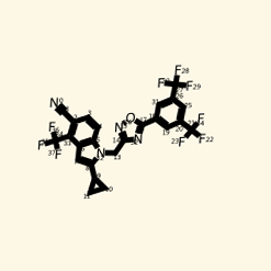 N#Cc1ccc2c(cc(C3CC3)n2Cc2noc(-c3cc(C(F)(F)F)cc(C(F)(F)F)c3)n2)c1C(F)(F)F